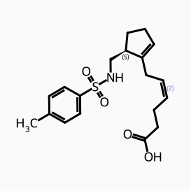 Cc1ccc(S(=O)(=O)NC[C@H]2CCC=C2C/C=C\CCC(=O)O)cc1